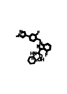 Cn1cc(-c2ccc(Cn3nc(C(=O)N[C@@H]4CCCC[C@H]4O)c4c(F)cccc43)c(F)c2)cn1